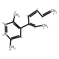 C=C/C=C\C(=C/C)c1cc(C)nnc1C